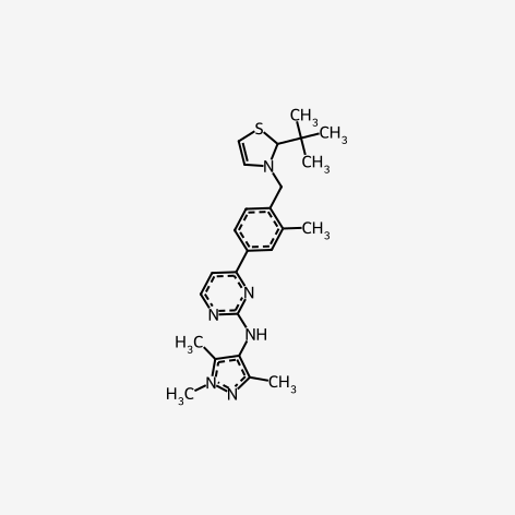 Cc1cc(-c2ccnc(Nc3c(C)nn(C)c3C)n2)ccc1CN1C=CSC1C(C)(C)C